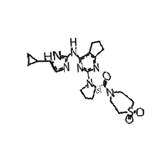 O=C([C@@H]1CCCN1c1nc2c(c(Nc3ncc(C4CC4)[nH]3)n1)CCC2)N1CCS(=O)(=O)CC1